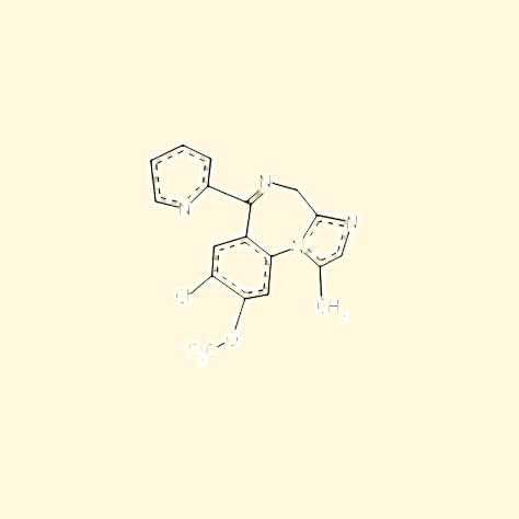 Cc1cnc2n1-c1cc(OC(F)(F)F)c(Cl)cc1C(c1ccccn1)=NC2